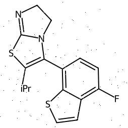 CC(C)C1=C(c2ccc(F)c3ccsc23)N2CCN=C2S1